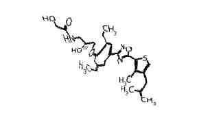 CCc1cc(-c2noc(-c3scc(CC(C)C)c3C)n2)cc(CC)c1OC[C@@H](O)CNC(=O)CO